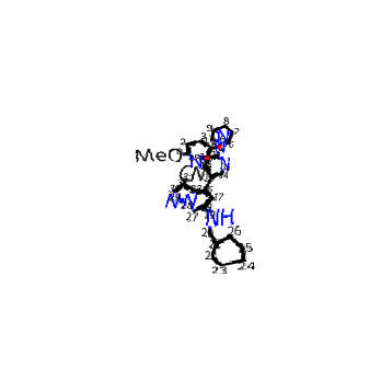 COc1ccc(CN2C3CC2CN(c2ccc(-c4cc(NCC5CCCCC5)cn5ncc(C#N)c45)cn2)C3)cn1